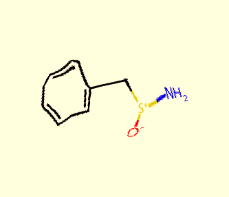 N[S+]([O-])Cc1ccccc1